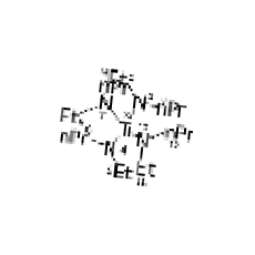 CCC[N](CC)[Ti]([N](CC)CCC)([N](CC)CCC)[N](CC)CCC